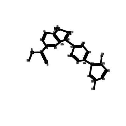 COC(=O)c1ccc2[nH]nc(-c3ncc(-c4cc(C)ccc4F)cn3)c2c1